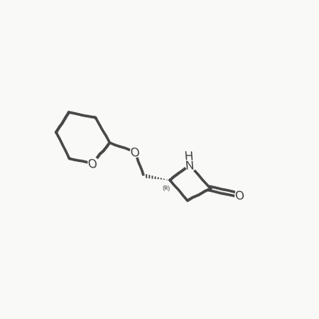 O=C1C[C@H](COC2CCCCO2)N1